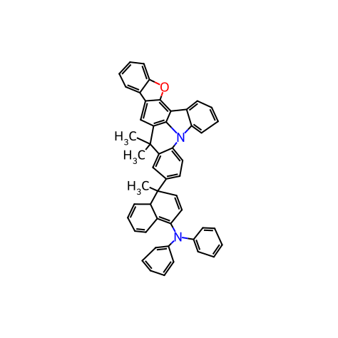 CC1(C)c2cc(C3(C)C=CC(N(c4ccccc4)c4ccccc4)=C4C=CC=CC43)ccc2-n2c3ccccc3c3c4oc5ccccc5c4cc1c32